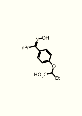 CCC/C(=N/O)c1ccc(OC(CC)C(=O)O)cc1